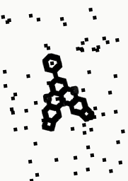 c1ccc(-c2cc3c4c(c2)Oc2cc5c(cc2B4c2cc4c(cc2O3)CC4)CC5)cc1